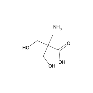 CC(CO)(CO)C(=O)O.N